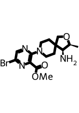 COC(=O)c1nc(Br)cnc1N1CCC2(CC1)CO[C@@H](C)[C@H]2N